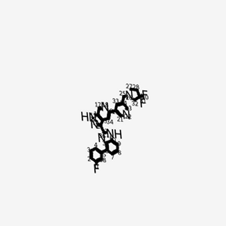 Fc1cccc(-c2cccc3[nH]c(-c4n[nH]c5cnc(-c6cncc(CN7CCC(F)(F)C7)c6)cc45)nc23)c1